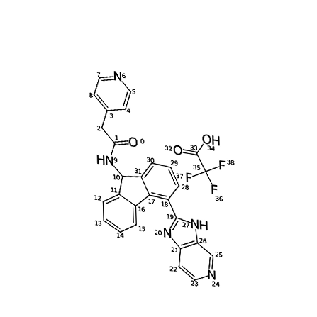 O=C(Cc1ccncc1)NC1c2ccccc2-c2c(-c3nc4ccncc4[nH]3)cccc21.O=C(O)C(F)(F)F